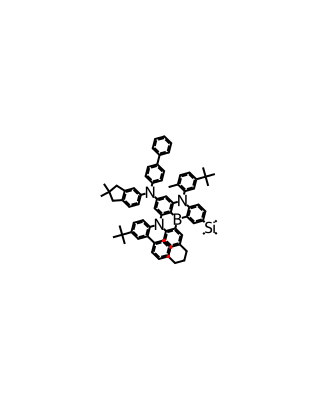 Cc1ccc(C(C)(C)C)cc1N1c2ccc([Si](C)(C)C)cc2B2c3cc4c(cc3N(c3ccc(C(C)(C)C)cc3-c3ccccc3)c3cc(N(c5ccc(-c6ccccc6)cc5)c5ccc6c(c5)CC(C)(C)C6)cc1c32)CCCC4